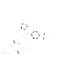 CCCCN1C(=O)[C@H](CC(C)C)NC(=O)C12CCN(C(c1ccc(S(=O)(=O)N(C)C)cc1)c1c(C)n[nH]c1C)CC2